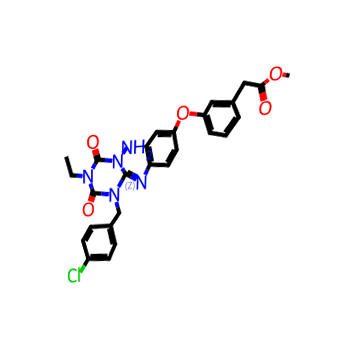 CCn1c(=O)n(N)/c(=N\c2ccc(Oc3cccc(CC(=O)OC)c3)cc2)n(Cc2ccc(Cl)cc2)c1=O